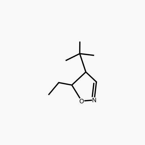 CCC1ON=CC1C(C)(C)C